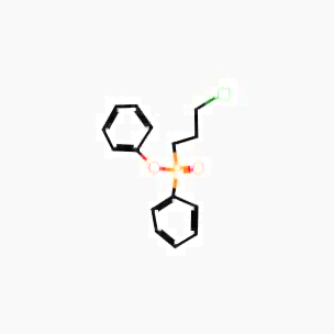 O=P(CCCCl)(Oc1ccccc1)c1ccccc1